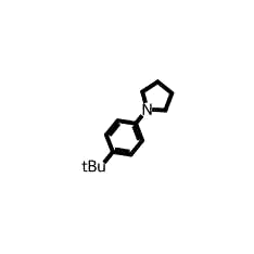 CC(C)(C)c1ccc(N2CCCC2)cc1